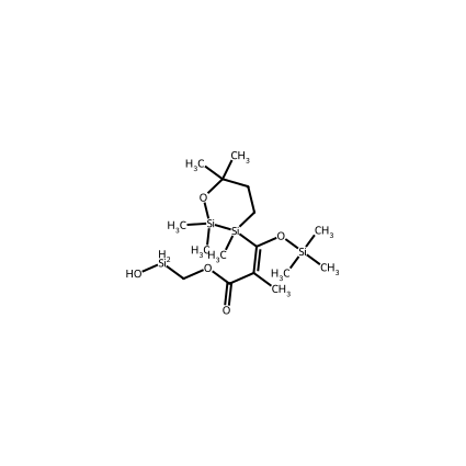 CC(C(=O)OC[SiH2]O)=C(O[Si](C)(C)C)[Si]1(C)CCC(C)(C)O[Si]1(C)C